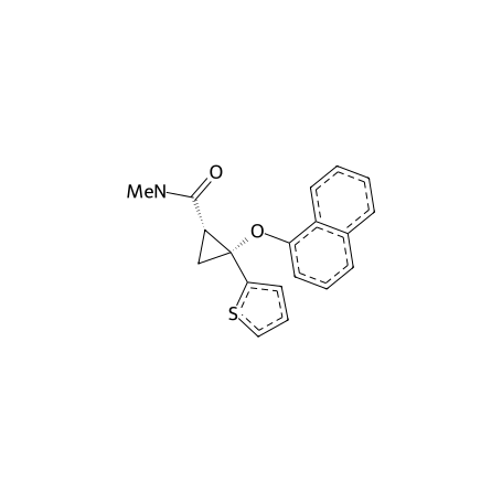 CNC(=O)[C@H]1C[C@]1(Oc1cccc2ccccc12)c1cccs1